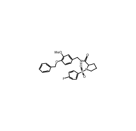 COc1cc(CNC(=O)C2CCCN2S(=O)(=O)c2ccc(F)cc2)ccc1OCc1ccccc1